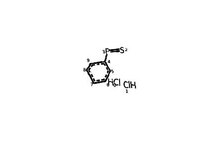 Cl.Cl.S=Pc1ccccc1